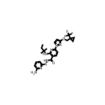 CCC(C)(C)Nc1nc(-n2ccc(OCC3(C(F)(F)F)CC3)n2)ccc1C(=O)NSc1cccc(N)n1